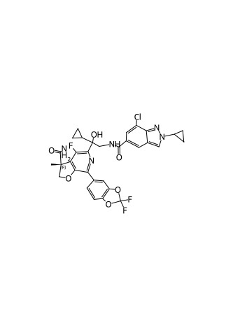 C[C@]1(C(N)=O)COc2c(-c3ccc4c(c3)OC(F)(F)O4)nc(C(O)(CNC(=O)c3cc(Cl)c4nn(C5CC5)cc4c3)C3CC3)c(F)c21